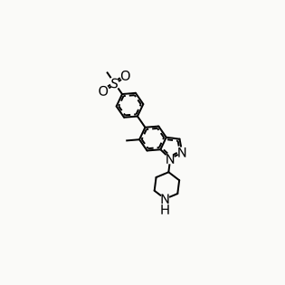 Cc1cc2c(cnn2C2CCNCC2)cc1-c1ccc(S(C)(=O)=O)cc1